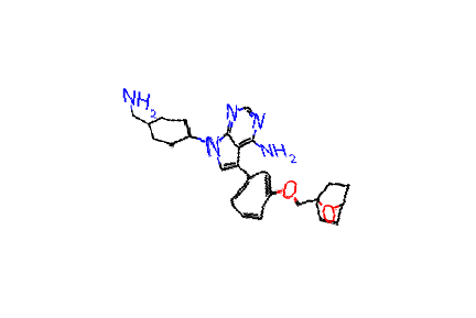 NCC1CCC(n2cc(-c3cccc(OCC45CCC(CC4)O5)c3)c3c(N)ncnc32)CC1